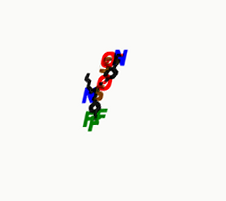 CCCCc1nc(-c2ccc(C(F)(F)F)cc2)sc1COc1ccc(C#N)c([S+](C)[O-])c1